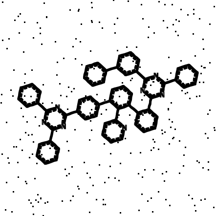 c1ccc(-c2cccc(-c3nc(-c4ccccc4)nc(-c4ccccc4-c4cccc(-c5ccc(-c6nc(-c7ccccc7)nc(-c7ccccc7)n6)cc5)c4-c4ccccn4)n3)c2)cc1